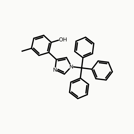 Cc1ccc(O)c(-c2cn(C(c3ccccc3)(c3ccccc3)c3ccccc3)cn2)c1